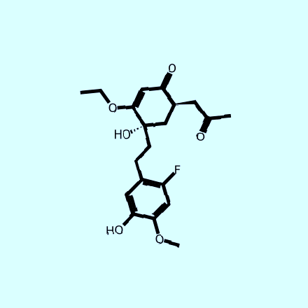 CCOC1=CC(=O)[C@@H](CC(C)=O)C[C@@]1(O)CCc1cc(O)c(OC)cc1F